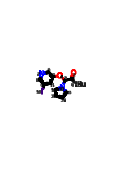 CC(C)(C)C(=O)C(Oc1cncc(I)c1)n1cccc1